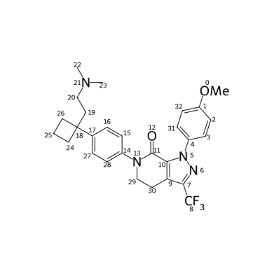 COc1ccc(-n2nc(C(F)(F)F)c3c2C(=O)N(c2ccc(C4(CCN(C)C)CCC4)cc2)CC3)cc1